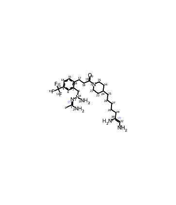 C/C(N)=N/N(N)Cc1cc(C(F)(F)F)ccc1CCC(=O)N1CCC(CCCCC/C(N)=C/N)CC1